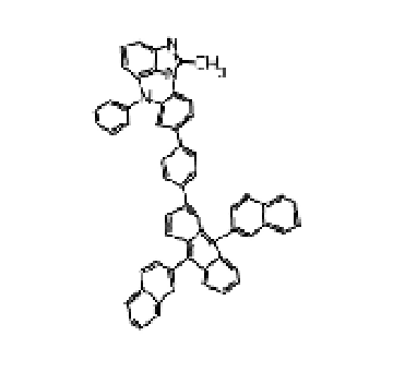 Cc1nc2cccc3c2n1-c1ccc(-c2ccc(-c4ccc5c(-c6ccc7ccccc7c6)c6ccccc6c(-c6ccc7ccccc7c6)c5c4)cc2)cc1N3c1ccccc1